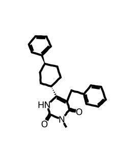 Cn1c(=O)[nH]c([C@H]2CC[C@H](c3ccccc3)CC2)c(Cc2ccccc2)c1=O